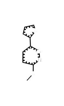 CSc1ccc(-c2cccs2)nn1